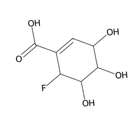 O=C(O)C1=CC(O)C(O)C(O)C1F